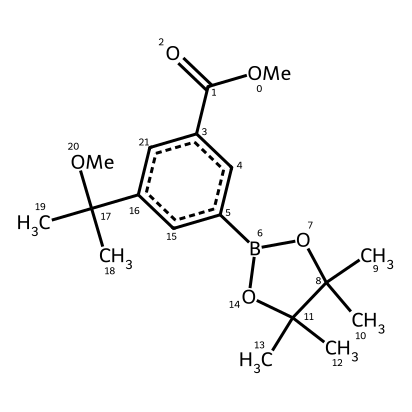 COC(=O)c1cc(B2OC(C)(C)C(C)(C)O2)cc(C(C)(C)OC)c1